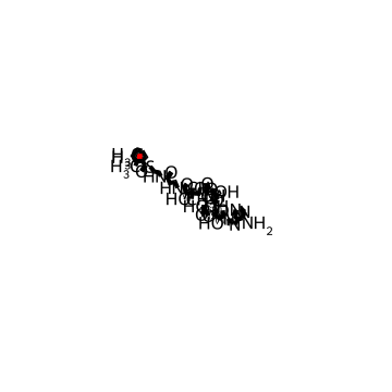 CC1CCC2CC1(C(=O)SCCNC(=O)CCNC(=O)[C@H](O)C(C)(C)COP(=O)(O)OP(=O)(O)OC[C@H]1O[C@@H](n3cnc4c(N)ncnc43)[C@H](O)[C@@H]1OP(=O)(O)O)C2(C)C